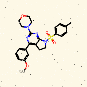 Cc1ccc(S(=O)(=O)N2CCc3c(-c4cccc(OC(C)(C)C)c4)nc(N4CCOCC4)nc32)cc1